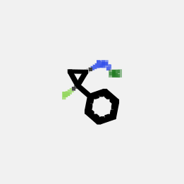 Cl.N[C@H]1C[C@]1(F)c1ccccc1